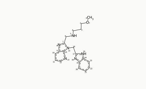 COCCCNCc1nc2cccnc2n1Cc1nc2ccccc2[nH]1